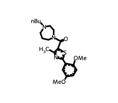 CCCCN1CCCN(C(=O)c2sc(-c3cc(OC)ccc3OC)nc2C)CC1